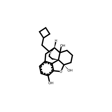 Oc1ccc2c3c1O[C@]1(O)CCCC4(O)[C@@H](C2)N(CC2CCC2)CC[C@@]341